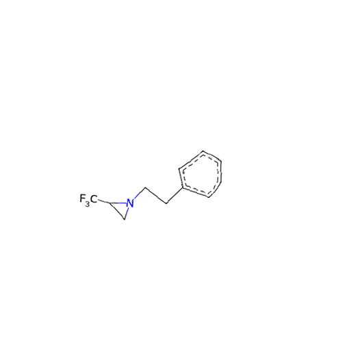 FC(F)(F)C1CN1CCc1ccccc1